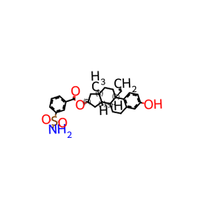 C=C[C@]12CC[C@]3(C)C[C@H](OC(=O)c4cccc(S(N)(=O)=O)c4)C[C@H]3[C@@H]1CCc1cc(O)ccc12